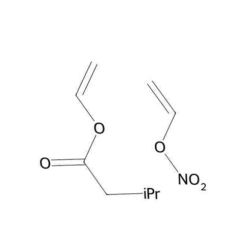 C=COC(=O)CC(C)C.C=CO[N+](=O)[O-]